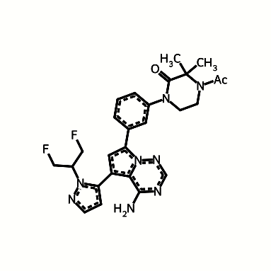 CC(=O)N1CCN(c2cccc(-c3cc(-c4ccnn4C(CF)CF)c4c(N)ncnn34)c2)C(=O)C1(C)C